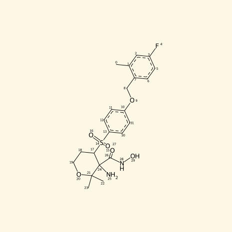 Cc1cc(F)ccc1COc1ccc(S(=O)(=O)C2CCOC(C)(C)C2(N)C(=O)NO)cc1